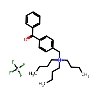 CCCC[N+](CCCC)(CCCC)Cc1ccc(C(=O)c2ccccc2)cc1.F[B-](F)(F)F